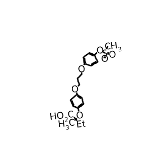 CCC(C)(Oc1ccc(OCCCOc2ccc(OS(C)(=O)=O)cc2)cc1)C(=O)O